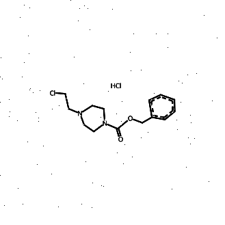 Cl.O=C(OCc1ccccc1)N1CCN(CCCl)CC1